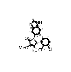 COC1=C(C)[C@@H](c2cccc(Cl)c2Cl)N(c2ccc3[nH]cnc3c2)C1=O